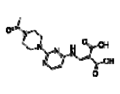 CC(=O)N1CCN(c2nccc(NC=C(C(=O)O)C(=O)O)n2)CC1